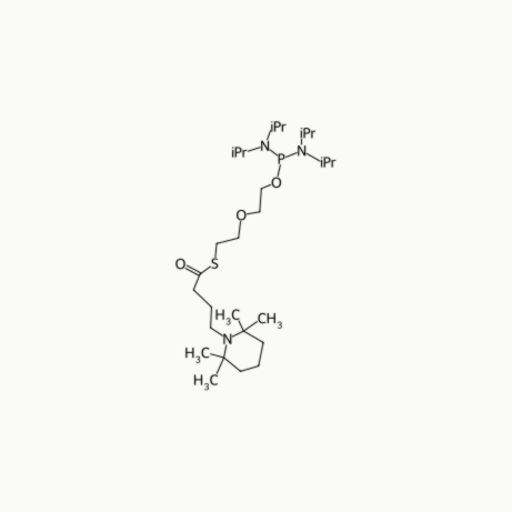 CC(C)N(C(C)C)P(OCCOCCSC(=O)CCCN1C(C)(C)CCCC1(C)C)N(C(C)C)C(C)C